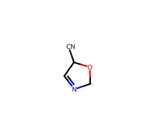 N#CC1C=N[CH]O1